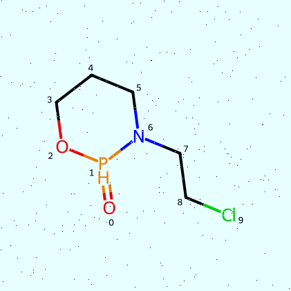 O=[PH]1OCCCN1CCCl